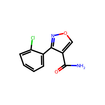 NC(=O)c1conc1-c1ccccc1Cl